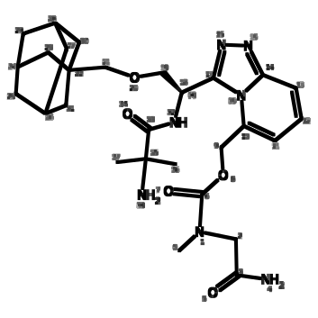 CN(CC(N)=O)C(=O)OCc1cccc2nnc([C@H](COCC34CC5CC(CC(C5)C3)C4)NC(=O)C(C)(C)N)n12